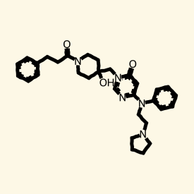 O=C(CCc1ccccc1)N1CCC(O)(Cn2cnc(N(CCN3CCCC3)c3ccccc3)cc2=O)CC1